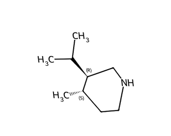 CC(C)[C@H]1CNCC[C@@H]1C